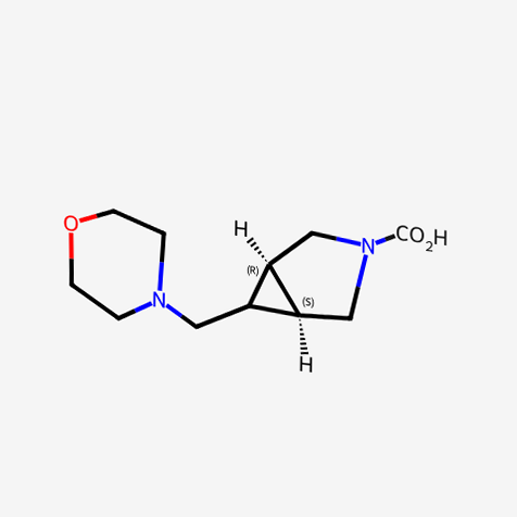 O=C(O)N1C[C@@H]2C(CN3CCOCC3)[C@@H]2C1